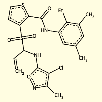 C=CC(Nc1onc(C)c1Cl)S(=O)(=O)c1ccsc1C(=O)Nc1cc(C)cc(C)c1CC